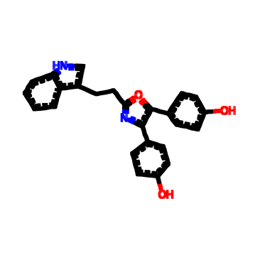 Oc1ccc(-c2nc(CCc3c[nH]c4ccccc34)oc2-c2ccc(O)cc2)cc1